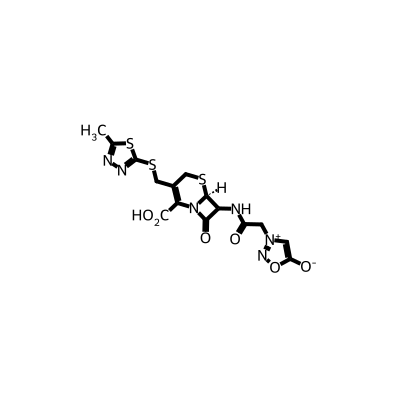 Cc1nnc(SCC2=C(C(=O)O)N3C(=O)C(NC(=O)C[n+]4cc([O-])on4)[C@@H]3SC2)s1